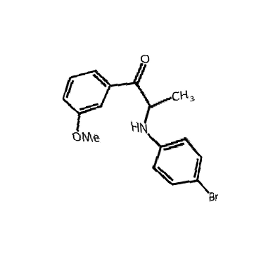 COc1cccc(C(=O)C(C)Nc2ccc(Br)cc2)c1